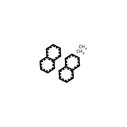 C.C.c1ccc2ccccc2c1.c1ccc2ccccc2c1